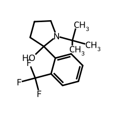 CC(C)(C)N1CCCC1(O)c1ccccc1C(F)(F)F